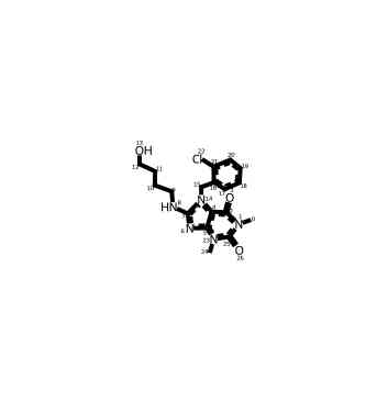 Cn1c(=O)c2c(nc(NCCCCO)n2Cc2ccccc2Cl)n(C)c1=O